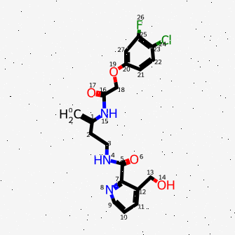 C=C(CCNC(=O)c1ncccc1CO)NC(=O)COc1ccc(Cl)c(F)c1